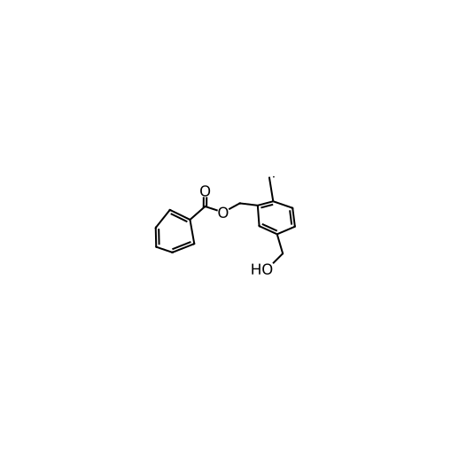 [CH2]c1ccc(CO)cc1COC(=O)c1ccccc1